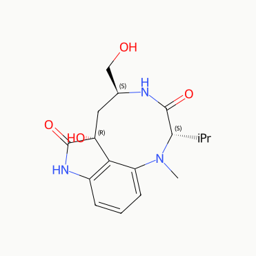 CC(C)[C@H]1C(=O)N[C@H](CO)C[C@]2(O)C(=O)Nc3cccc(c32)N1C